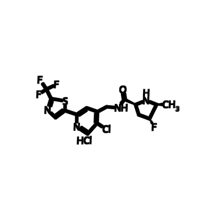 C[C@@H]1N[C@H](C(=O)NCc2cc(-c3cnc(C(F)(F)F)s3)ncc2Cl)C[C@H]1F.Cl